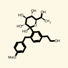 COc1ccc(Cc2ccc(CCO)cc2[C@@]2(O)O[C@H]([C@H](C)O)[C@@H](O)[C@H](O)[C@H]2O)cc1